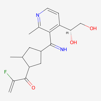 C=C(F)C(=O)C1CC(C(=N)c2c([C@@H](O)CO)ccnc2C)CC1C